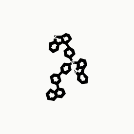 c1cc(-c2ccc(N(c3ccc(-c4cccc5sc6ccccc6c45)cc3)c3cccc4c3sc3ccccc34)cc2)cc(-c2cccc3ccccc23)c1